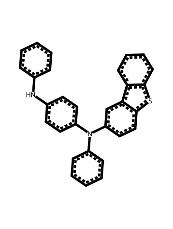 c1ccc(Nc2ccc(N(c3ccccc3)c3ccc4sc5ccccc5c4c3)cc2)cc1